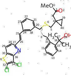 COC(=O)CC1(CS[C@H](CCc2ccccc2C(C)(C)O)c2cccc(/C=C/c3ccc4sc(Cl)c(Cl)c4n3)c2)CC1